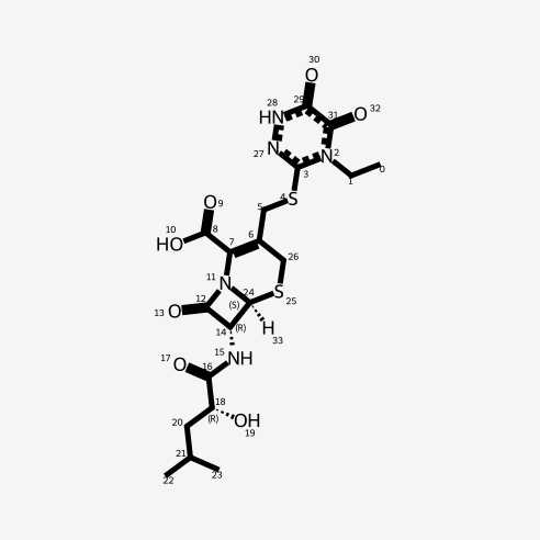 CCn1c(SCC2=C(C(=O)O)N3C(=O)[C@@H](NC(=O)[C@H](O)CC(C)C)[C@@H]3SC2)n[nH]c(=O)c1=O